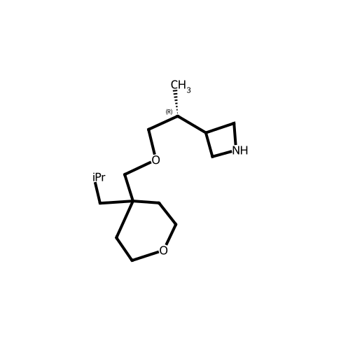 CC(C)CC1(COC[C@H](C)C2CNC2)CCOCC1